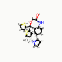 O=C1COC(c2cccs2)(c2cccs2)c2cc(-c3cccn3C(=O)O)ccc2N1